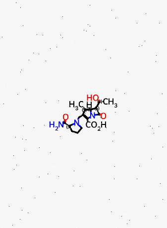 C[C@@H](O)[C@H]1C(=O)N2C(C(=O)O)=C(CN3CCC[C@H]3C(N)=O)[C@H](C)[C@H]12